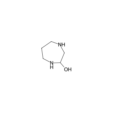 OC1CNCCCN1